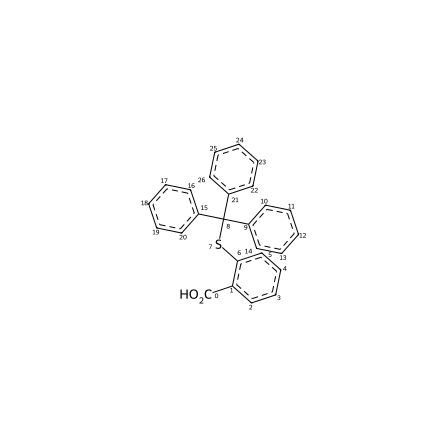 O=C(O)c1ccccc1SC(c1ccccc1)(c1ccccc1)c1ccccc1